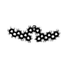 c1ccc2c(c1)ccc1c2ccc2c3cc(-c4ccc5oc6ccc(-c7cc8c(ccc9c%10ccc%11ccccc%11c%10ccc89)c8ccccc78)cc6c5c4)c4ccccc4c3ccc12